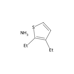 CCc1ccsc1CC.N